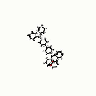 c1ccc(-c2ccccc2N(c2ccccc2)c2ccc(-c3ccc(-n4c5ccccc5c5ccccc54)cc3)cc2)cc1